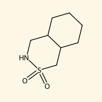 O=S1(=O)CC2CCCCC2CN1